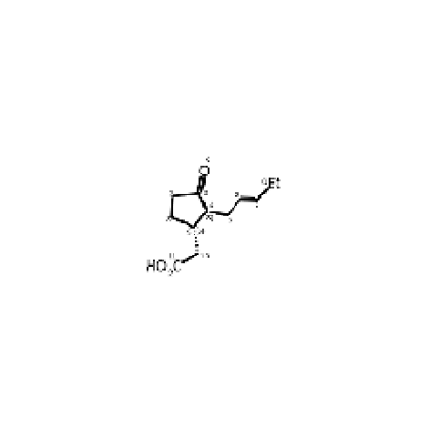 CCC=CC[C@@H]1C(=O)CC[C@H]1CC(=O)O